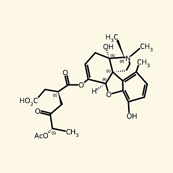 CC(=O)O[C@@H](C)C(=O)C[C@@H](CC(=O)O)C(=O)OC1=CC[C@@]2(O)[C@@H](C)N(C)CC[C@@]23c2c(C)ccc(O)c2O[C@@H]13